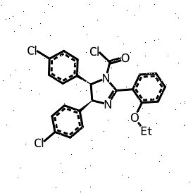 CCOc1ccccc1C1=N[C@@H](c2ccc(Cl)cc2)[C@@H](c2ccc(Cl)cc2)N1C(=O)Cl